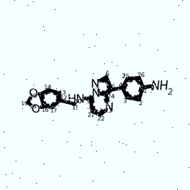 Nc1ccc(-c2cnn3c(NCc4ccc5c(c4)OCO5)ccnc23)cc1